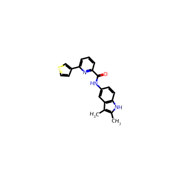 Cc1[nH]c2ccc(NC(=O)c3cccc(-c4ccsc4)n3)cc2c1C